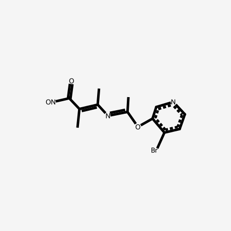 C/C(=N\C(C)=C(/C)C(=O)N=O)Oc1cnccc1Br